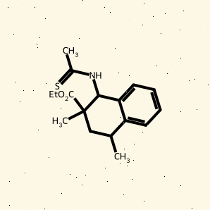 CCOC(=O)C1(C)CC(C)c2ccccc2C1NC(C)=S